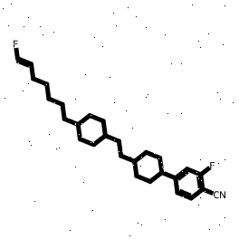 N#Cc1ccc(C2CCC(CCC3CCC(CCCCCC=CF)CC3)CC2)cc1F